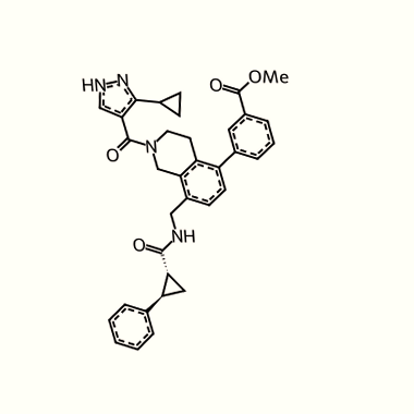 COC(=O)c1cccc(-c2ccc(CNC(=O)[C@@H]3C[C@H]3c3ccccc3)c3c2CCN(C(=O)c2c[nH]nc2C2CC2)C3)c1